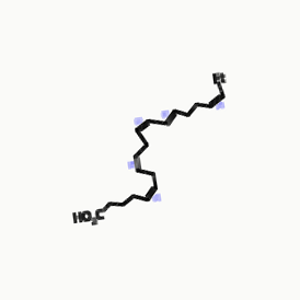 CC/C=C\CC/C=C/C=C\C/C=C\C/C=C\CCCC(=O)O